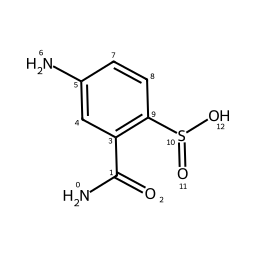 NC(=O)c1cc(N)ccc1S(=O)O